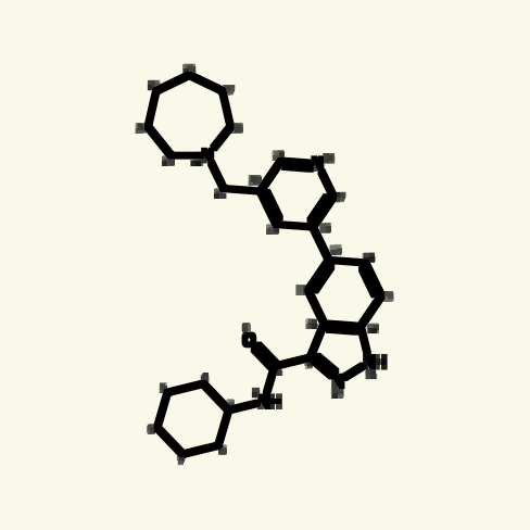 O=C(NC1CCCCC1)c1n[nH]c2ccc(-c3cncc(CN4CCCCCC4)c3)cc12